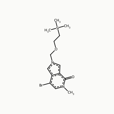 Cn1cc(Br)c2cn(COCC[Si](C)(C)C)cc2c1=O